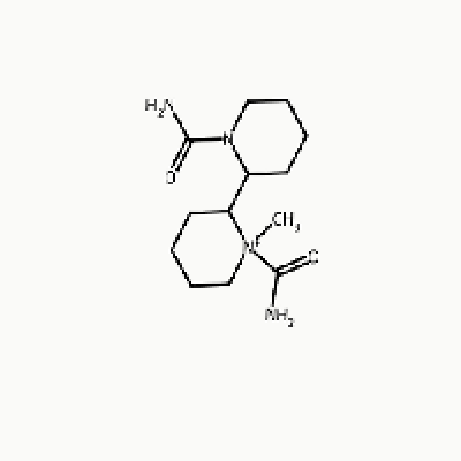 C[N+]1(C(N)=O)CCCCC1C1CCCCN1C(N)=O